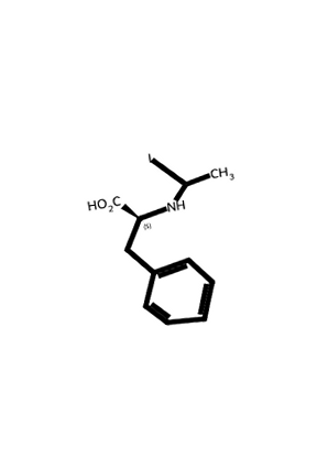 CC(I)N[C@@H](Cc1ccccc1)C(=O)O